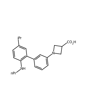 CCCNc1ccc(C(C)C)cc1-c1cccc(N2CC(C(=O)O)C2)c1